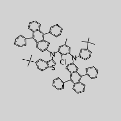 Cc1cc(N(c2cccc(C(C)(C)C)c2)c2ccc3c(-c4ccccc4)c4ccccc4c(-c4ccccc4)c3c2)c(Cl)c(N(c2ccc3c(-c4ccccc4)c4ccccc4c(-c4ccccc4)c3c2)c2csc3ccc(C(C)(C)C)cc23)c1